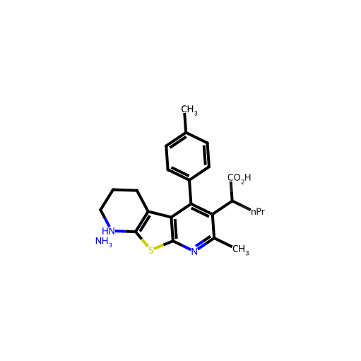 CCCC(C(=O)O)c1c(C)nc2sc3c(c2c1-c1ccc(C)cc1)CCCN3.N